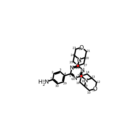 Nc1ccc(-c2nc(N3C4COCC3COC4)nc(N3C4COCC3COC4)n2)cc1